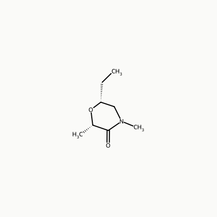 CC[C@@H]1CN(C)C(=O)[C@H](C)O1